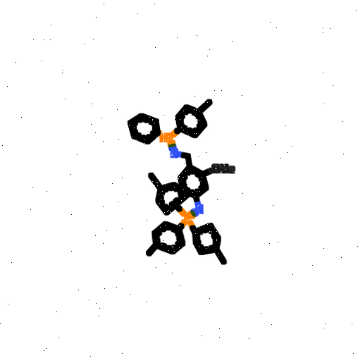 COc1cc(N=P(c2ccc(C)cc2)(c2ccc(C)cc2)c2ccc(C)cc2)ccc1C/N=[PH](/c1ccccc1)c1ccc(C)cc1